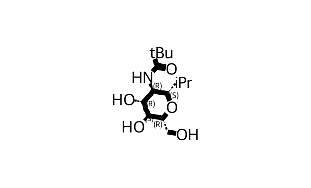 CC(C)[C@@H]1O[C@H](CO)[C@@H](O)[C@H](O)[C@H]1NC(=O)C(C)(C)C